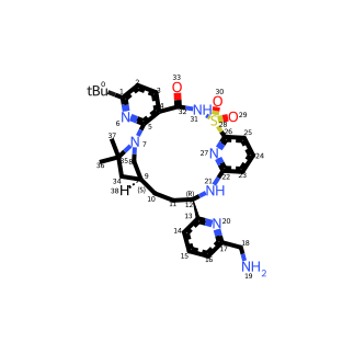 CC(C)(C)c1ccc2c(n1)N1C[C@@H](CC[C@H](c3cccc(CN)n3)Nc3cccc(n3)S(=O)(=O)NC2=O)CC1(C)C